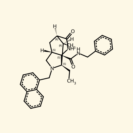 CC[C@@]12[C@H](C)[C@H]3C[C@@H](CN1Cc1cccc4ccccc14)[C@]2(C(=O)NCc1ccccc1)NC3=O